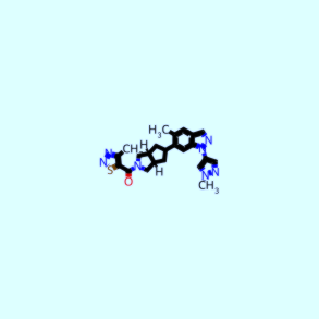 Cc1cc2cnn(-c3cnn(C)c3)c2cc1C1C[C@@H]2CN(C(=O)c3snnc3C)C[C@@H]2C1